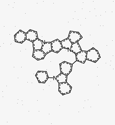 c1ccc(-n2c3ccccc3c3cc(-c4cc5ccccc5c5c6cccc7c8cc9c(cc8n(c45)c76)c4cccc5c6c7ccccc7ccc6n9c45)ccc32)cc1